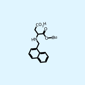 CCC(C)OC(=O)C(CC(=O)O)NCc1cccc2ccccc12